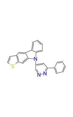 c1ccc(-c2cc(-n3c4ccccc4c4cc5ccsc5cc43)cnn2)cc1